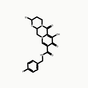 CCC1CCN2C(=O)c3c(O)c(=O)c(C(=O)NCc4ccc(F)cc4)cn3CC2O1